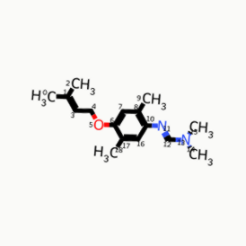 CC(C)=CCOc1cc(C)c(/N=C/N(C)C)cc1C